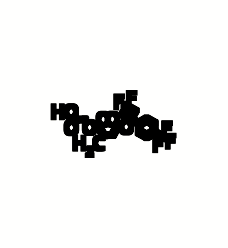 C=C(CC(=O)OC1(c2ccc(C(F)(F)F)cc2)CC(F)(F)C1)C(=O)OCC(=O)O